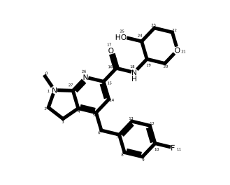 CN1CCc2c(Cc3ccc(F)cc3)cc(C(=O)NC3COCCC3O)nc21